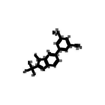 Cn1c(C(F)(F)F)nc2ccc(-c3cc(N)nc(N)c3)nc21